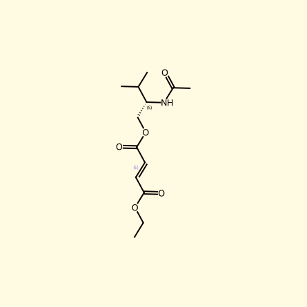 CCOC(=O)/C=C/C(=O)OC[C@@H](NC(C)=O)C(C)C